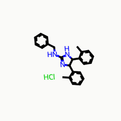 Cc1ccccc1C1N=C(NCc2ccccc2)NC1c1ccccc1C.Cl